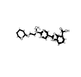 CN(CCOC1CCCCO1)c1ncc(-c2nc3cccc(C(=O)O)c3o2)cn1